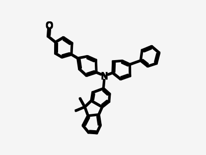 CC1(C)c2ccccc2-c2ccc(N(c3ccc(-c4ccccc4)cc3)c3ccc(-c4ccc(C=O)cc4)cc3)cc21